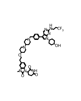 Cn1c(=O)n([C@H]2CCC(=O)NC2=O)c2ccc(CCOC3CCN(C4CCN(Cc5ccc(-c6cn([C@H]7CC[C@H](O)CC7)c7nc(NCCC(F)(F)F)ncc67)cc5)CC4)CC3)cc21